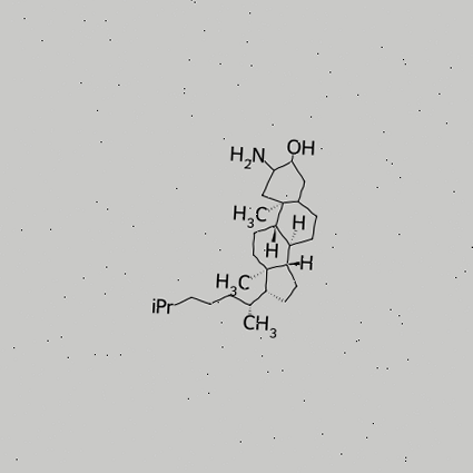 CC(C)CCC[C@@H](C)[C@H]1CC[C@H]2[C@@H]3CCC4CC(O)C(N)C[C@]4(C)[C@H]3CC[C@]12C